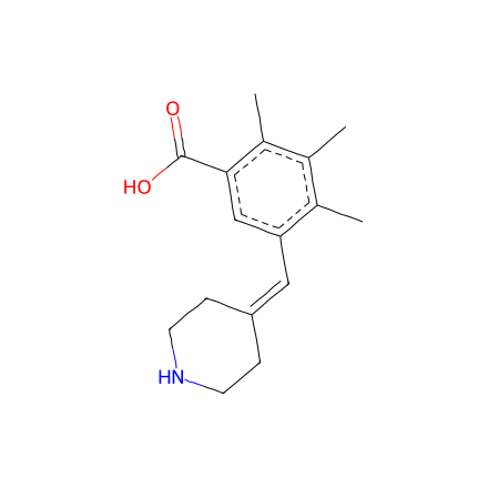 Cc1c(C=C2CCNCC2)cc(C(=O)O)c(C)c1C